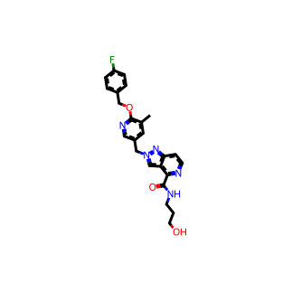 Cc1cc(Cn2cc3c(C(=O)NCCCO)nccc3n2)cnc1OCc1ccc(F)cc1